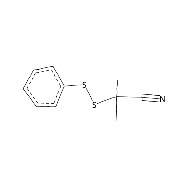 CC(C)(C#N)SSc1ccccc1